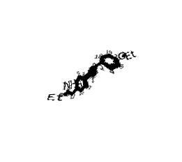 CCOc1ccc(C#Cc2ccc(CC(CC)NC(C)=O)cc2)cc1